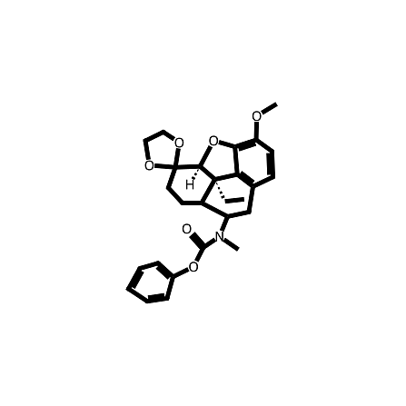 CC[C@@]12c3c4ccc(OC)c3O[C@@H]1C1(CCC2C(N(C)C(=O)Oc2ccccc2)C4)OCCO1